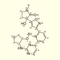 CCOC1COCC1Nc1nccc(-c2cccc(-c3cc(C4(O)CCN(C)C4=O)on3)n2)n1